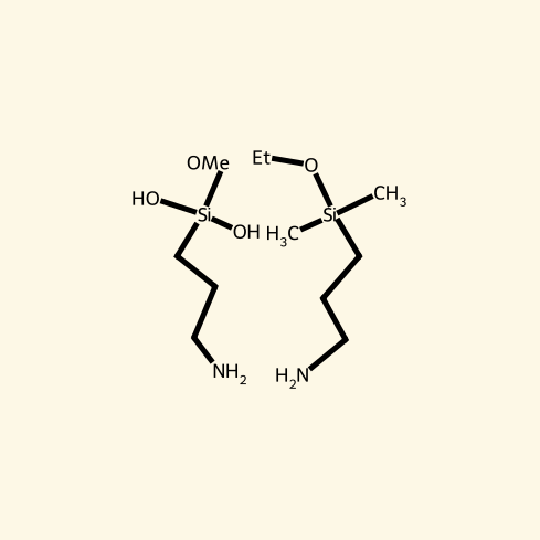 CCO[Si](C)(C)CCCN.CO[Si](O)(O)CCCN